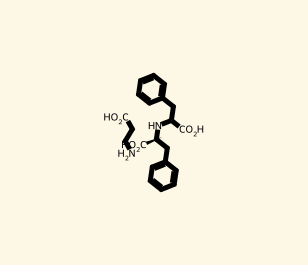 NCCC(=O)O.O=C(O)C(Cc1ccccc1)N[C@@H](Cc1ccccc1)C(=O)O